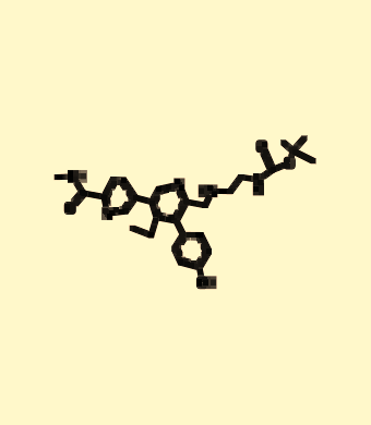 CCc1c(-c2ccc(C(=O)NC)nc2)cnc(CNCCNC(=O)OC(C)(C)C)c1-c1ccc(O)cc1